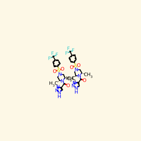 C[C@@H]1CN(S(=O)(=O)c2ccc(C(F)(F)F)cc2)C[C@H](C)N1C(=O)c1c[nH]nn1.C[C@@H]1CN(S(=O)(=O)c2ccc(C(F)(F)F)cc2)C[C@H](C)N1C(=O)c1c[nH]nn1